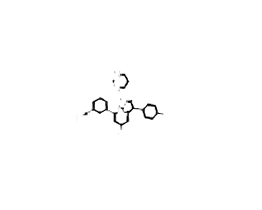 Cc1ccc(-c2c(C)nn3c(-c4cccc(C(F)(F)F)c4)cc(Cl)cc23)cc1.c1cncnc1